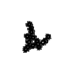 c1ccc(-c2cc3cc(-c4c5ccccc5c(-c5ccc(-c6cc7ccccc7cc6-c6ccc(-c7c8ccccc8c(-c8ccc9oc(-c%10ccccc%10)cc9c8)c8ccccc78)cc6)cc5)c5ccccc45)ccc3o2)cc1